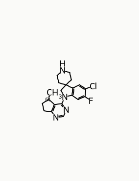 C[C@@H]1CCc2ncnc(N3CC4(CCNCC4)c4cc(Cl)c(F)cc43)c21